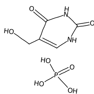 O=P(O)(O)O.O=c1[nH]cc(CO)c(=O)[nH]1